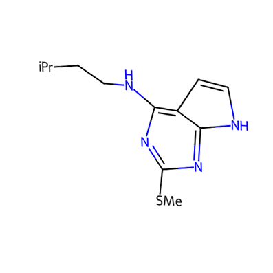 CSc1nc(NCCC(C)C)c2cc[nH]c2n1